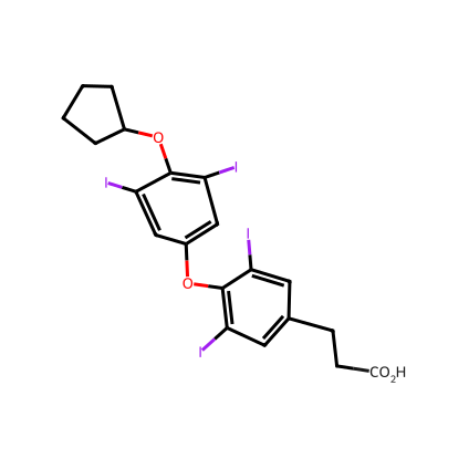 O=C(O)CCc1cc(I)c(Oc2cc(I)c(OC3CCCC3)c(I)c2)c(I)c1